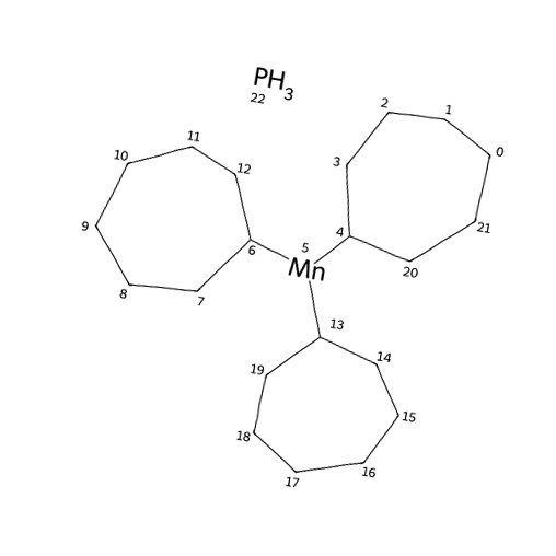 C1CCC[CH]([Mn]([CH]2CCCCCC2)[CH]2CCCCCC2)CC1.P